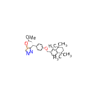 COC(=O)C[C@H](c1ccc(OCc2ccc3c(c2)C(C)(C)CCC3(C)C)cc1)c1nncs1